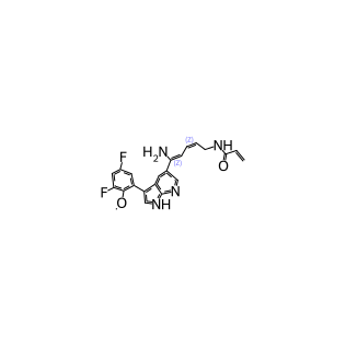 C=CC(=O)NC/C=C\C=C(/N)c1cnc2[nH]cc(-c3cc(F)cc(F)c3OC)c2c1